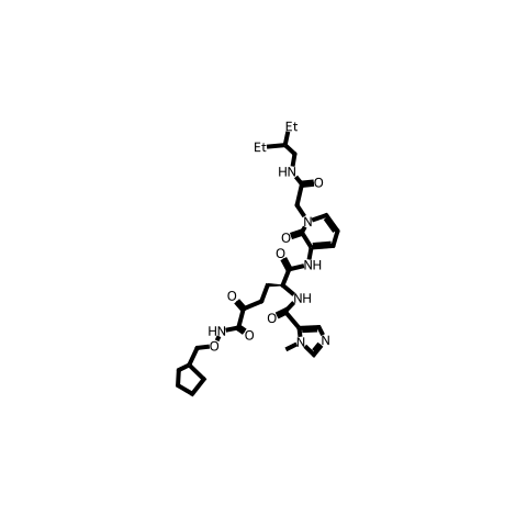 CCC(CC)CNC(=O)Cn1cccc(NC(=O)[C@H](CCC(=O)C(=O)NOCC2CCCC2)NC(=O)c2cncn2C)c1=O